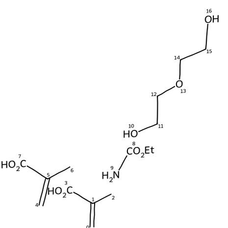 C=C(C)C(=O)O.C=C(C)C(=O)O.CCOC(N)=O.OCCOCCO